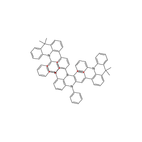 CC1(C)c2ccccc2N(c2ccccc2)c2c(-c3ccc4c(c3)N(c3ccccc3)c3cccc5c3B4c3ccc(-c4cccc6c4N(c4ccccc4)c4ccccc4C6(C)C)cc3N5c3ccccc3)cccc21